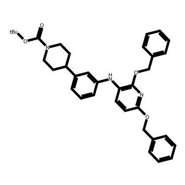 CC(C)(C)OC(=O)N1CCC(c2cccc(Nc3ccc(OCc4ccccc4)nc3OCc3ccccc3)c2)CC1